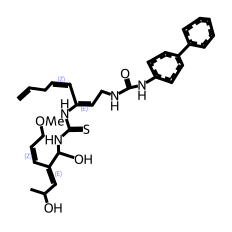 C=CC/C=C\C(=C/CNC(=O)Nc1ccc(-c2ccccc2)cc1)NC(=S)NC(O)C(/C=C\COC)=C/C(C)O